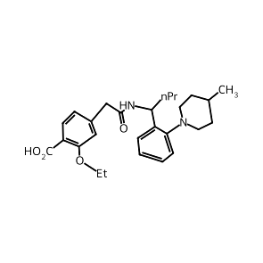 CCCC(NC(=O)Cc1ccc(C(=O)O)c(OCC)c1)c1ccccc1N1CCC(C)CC1